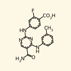 Cc1cccc(Nc2nc(Nc3ccc(C(=O)O)c(F)c3)ncc2C(N)=O)c1